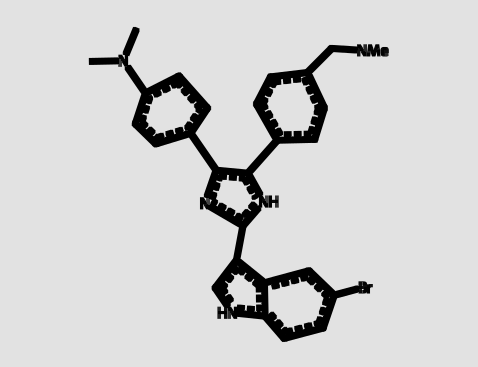 CNCc1ccc(-c2[nH]c(-c3c[nH]c4ccc(Br)cc34)nc2-c2ccc(N(C)C)cc2)cc1